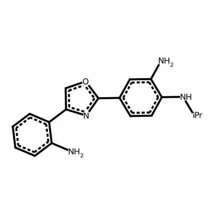 CC(C)Nc1ccc(-c2nc(-c3ccccc3N)co2)cc1N